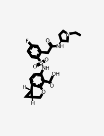 CCN1CC[C@H](NC(=O)Cc2cc(F)ccc2S(=O)(=O)Nc2ccc3c(c2C(=O)O)OC[C@@H]2C[C@H]32)C1